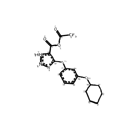 O=C(OC(=O)C(F)(F)F)c1[nH]nnc1Sc1cccc(OC2CCCCC2)c1